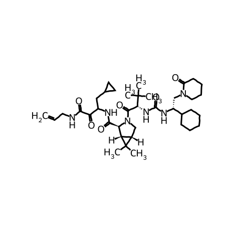 C=CCNC(=O)C(=O)C(CC1CC1)NC(=O)[C@@H]1[C@@H]2[C@H](CN1C(=O)[C@@H](NC(=O)N[C@H](CN1CCCCC1=O)C1CCCCC1)C(C)(C)C)C2(C)C